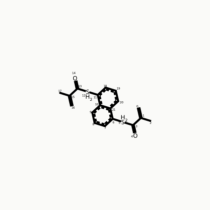 C=C(C)C(=O)[SH2]c1cccc2c([SH2]C(=O)C(=C)C)cccc12